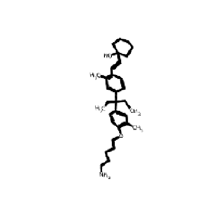 CCC(CC)(c1ccc(/C=C/C2(O)CCCCC2)c(C)c1)c1ccc(OCCCCCN)c(C)c1